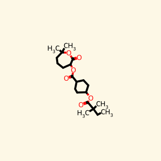 CCC(C)(C)C(=O)OC1CCC(C(=O)OC2CCCC(C)(C)OC2=O)CC1